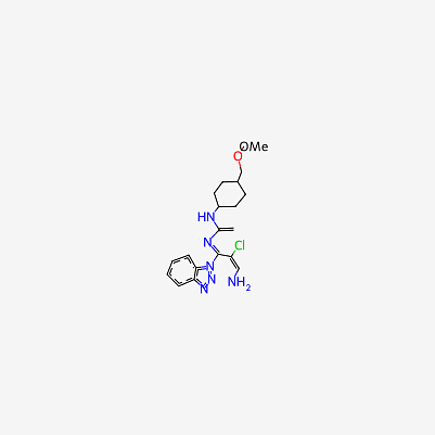 C=C(/N=C(\C(Cl)=C/N)n1nnc2ccccc21)NC1CCC(COOC)CC1